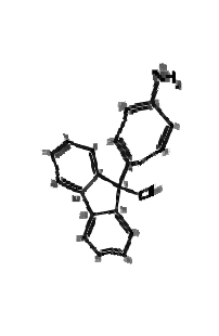 Nc1ccc(C2(Cl)c3ccccc3-c3ccccc32)cc1